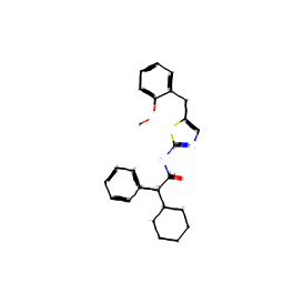 COc1ccccc1Cc1cnc(NC(=O)C(c2ccccc2)C2CCCCC2)s1